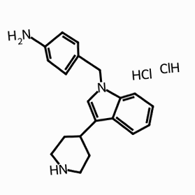 Cl.Cl.Nc1ccc(Cn2cc(C3CCNCC3)c3ccccc32)cc1